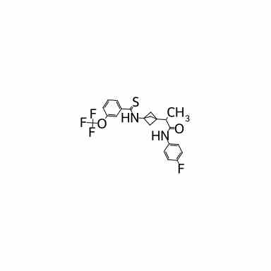 CC(C(=O)Nc1ccc(F)cc1)C12CC(NC(=S)c3cccc(OC(F)(F)F)c3)(C1)C2